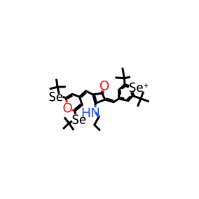 CCCNC1=C(C=C2C=C([Se]C(C)(C)C)OC([Se]C(C)(C)C)=C2)C(=O)C1=Cc1cc(C(C)(C)C)[se+]c(C(C)(C)C)c1